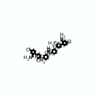 Cc1nc(-c2ccc(Cl)cc2CN)ccc1OC1CCCC(O[PH](=O)OC2CCCC(Oc3ccc(-c4ccc(Cl)cc4CN)nc3C)C2)C1